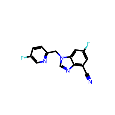 N#Cc1cc(F)cc2c1ncn2Cc1ccc(F)cn1